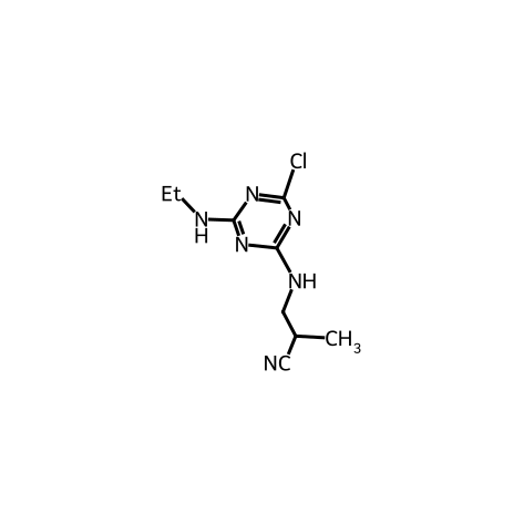 CCNc1nc(Cl)nc(NCC(C)C#N)n1